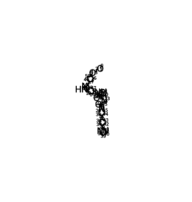 COCCOc1ccc(-c2n[nH]c3ccc(NC(=O)[C@]4(SC)CCN(CC(=O)N5CCC(c6ccc(-c7ncccn7)cc6)CC5)C4)cc23)cc1